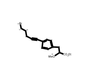 CCOC(=O)C(Cc1ccc(C#CCCCBr)cc1)OC